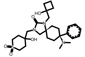 CN(C)[C@]1(c2ccccc2)CC[C@@]2(CC1)CN(CC1(O)CCS(=O)(=O)CC1)C(=O)N2CC1(O)CCC1